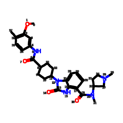 COc1cc(NC(=O)C2CCC(n3c(=O)[nH]c4c(C(=O)N(C)C5CCN(C)C5)cccc43)CC2)ccc1C